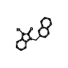 CCn1c(=O)n(Cc2ccc3ccccc3c2)c2ccccc21